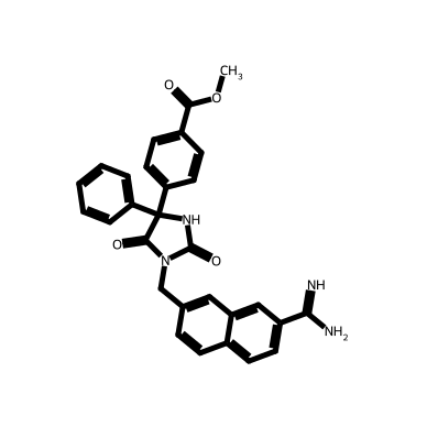 COC(=O)c1ccc(C2(c3ccccc3)NC(=O)N(Cc3ccc4ccc(C(=N)N)cc4c3)C2=O)cc1